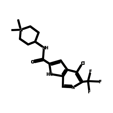 C[Si]1(C)CCC(NC(=O)c2cc3c(Cl)c(C(F)(F)F)ncc3[nH]2)CC1